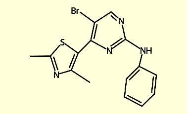 Cc1nc(C)c(-c2nc(Nc3ccccc3)ncc2Br)s1